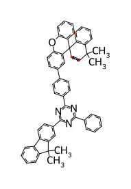 CC1(C)c2ccccc2-c2ccc(-c3nc(-c4ccccc4)nc(-c4ccc(-c5ccc6c(c5)C5(c7ccccc7O6)c6ccccc6C(C)(C)c6ccccc65)cc4)n3)cc21